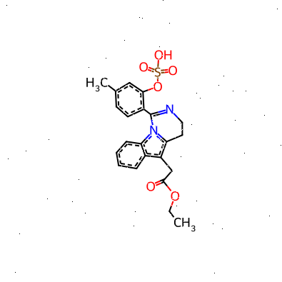 CCOC(=O)Cc1c2n(c3ccccc13)C(c1ccc(C)cc1OS(=O)(=O)O)=NCC2